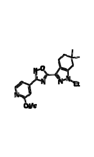 CCn1nc(-c2nc(-c3ccnc(OC)c3)no2)c2c1CC(C)(C)CC2